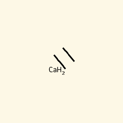 CC.CC.[CaH2]